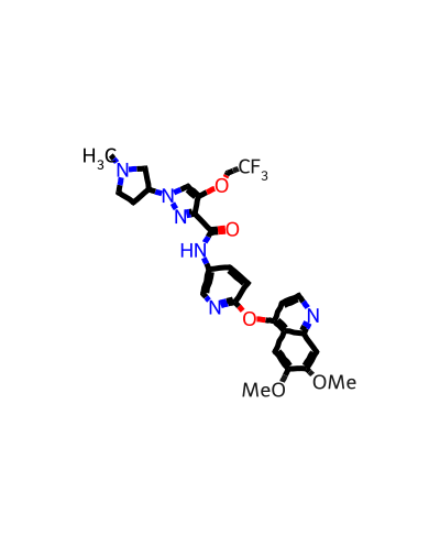 COc1cc2nccc(Oc3ccc(NC(=O)c4nn(C5CCN(C)C5)cc4OCC(F)(F)F)cn3)c2cc1OC